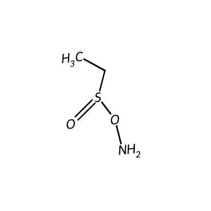 CCS(=O)ON